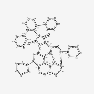 O=c1c2c3cc(-c4ccccc4)c4ccc5ccc6c(-c7ccccc7)cc(c2c(=O)n1-c1c(-c2ccccc2)cccc1-c1ccccc1)c1c6c5c4c31